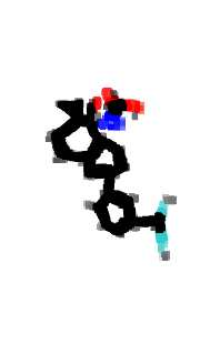 O=C[C@@]1(NC(=O)O)c2ccc(-c3cccc(C(F)F)c3)cc2CCC12CC2